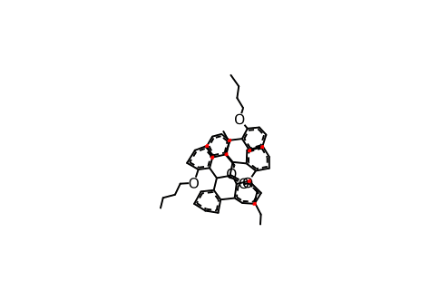 CCCCOc1ccccc1-c1ccccc1C(C(=O)C(c1ccccc1OCCCC)c1ccccc1-c1ccccc1OCCCC)c1ccccc1OCCCC